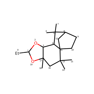 CCC1OC2C3C(C)(C)C4CCC3(C4)C(C)(C)CC2(C)O1